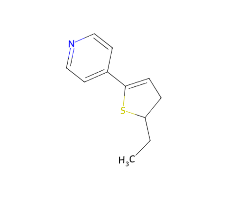 CCC1CC=C(c2ccncc2)S1